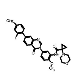 O=Cc1ccc(-c2ccc3c(=O)n(-c4ccc(OC(F)(F)F)c(NC(=O)C5(N6CCOCC6)CC5)c4)cnc3c2)c(F)c1